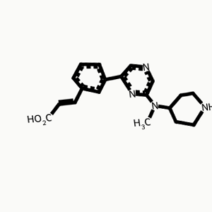 CN(c1cncc(-c2cccc(/C=C/C(=O)O)c2)n1)C1CCNCC1